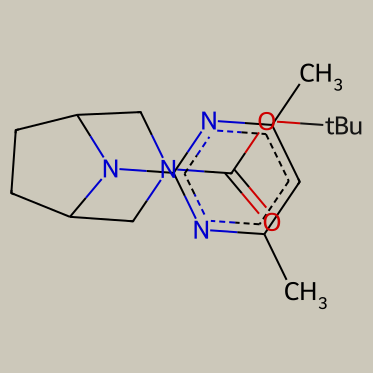 Cc1cc(C)nc(N2C3CCC2CN(C(=O)OC(C)(C)C)C3)n1